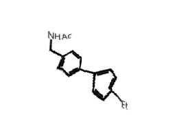 CCc1ccc(-c2ccc(CNC(C)=O)cc2)cc1